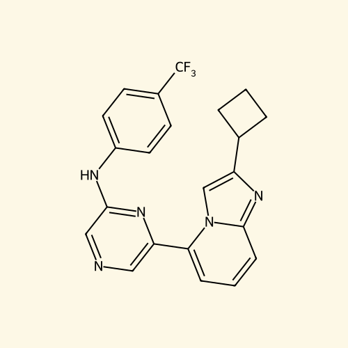 FC(F)(F)c1ccc(Nc2cncc(-c3cccc4nc(C5CCC5)cn34)n2)cc1